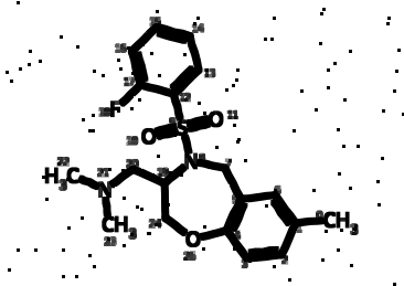 Cc1ccc2c(c1)CN(S(=O)(=O)c1ccccc1F)C(CN(C)C)CO2